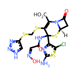 Nc1nc(C2(NC(=O)/C=N\O)S[C@@H]3CC(=O)N3C(C(=O)O)=C2SCSc2c[nH]nn2)c(Cl)s1